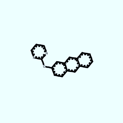 [c]1c(Oc2ncccn2)ccc2cc3ccccc3cc12